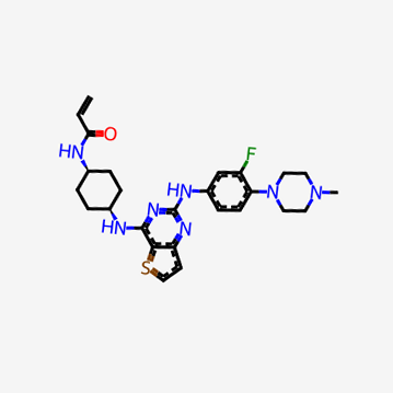 C=CC(=O)N[C@H]1CC[C@@H](Nc2nc(Nc3ccc(N4CCN(C)CC4)c(F)c3)nc3ccsc23)CC1